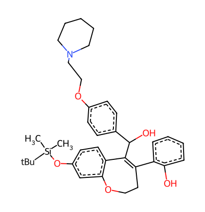 CC(C)(C)[Si](C)(C)Oc1ccc2c(c1)OCCC(c1ccccc1O)=C2C(O)c1ccc(OCCN2CCCCC2)cc1